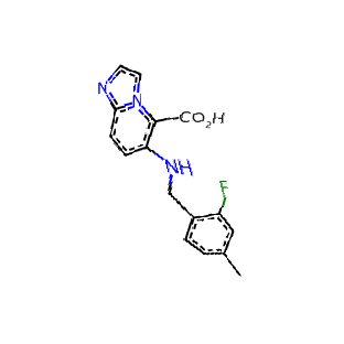 Cc1ccc(CNc2ccc3nccn3c2C(=O)O)c(F)c1